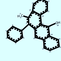 Cc1c(-c2ccccc2)c2cc3ccccc3c(O)c2c2ccccc12